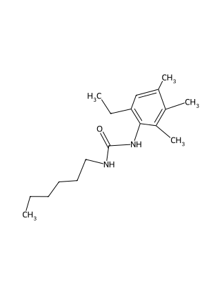 CCCCCCNC(=O)Nc1c(CC)cc(C)c(C)c1C